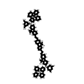 Cc1cc(C)cc(N(c2ccc([Si](c3ccccc3)(c3ccccc3)c3ccccc3)cc2)c2ccc3c(c2)C(C)(C)c2cc(/C=C/c4ccc5c(c4)C(C)(C)c4cc(/C=C/c6ccc7c(c6)C(C)(C)c6cc(N(c8ccc([Si](c9ccccc9)(c9ccccc9)c9ccccc9)cc8)c8cc(C)cc(C)c8)ccc6-7)ccc4-5)ccc2-3)c1